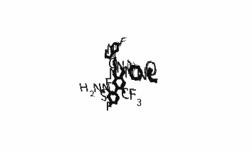 C=CC(=O)N1CCN(c2nc(OC[C@@]34CCCN3C[C@@H](F)C4)nc3c(F)c(-c4ccc(F)c5sc(N)nc45)c(C(F)(F)F)cc23)[C@@H](C)C1